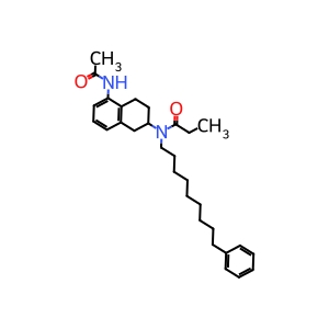 CCC(=O)N(CCCCCCCCCc1ccccc1)C1CCc2c(cccc2NC(C)=O)C1